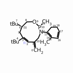 C=C1/C=C(/C(C)(C)C)C[C@@H](C(C)(C)C)COP(C)N(C2=C(C)C=CCC2)C1